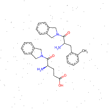 Cc1ccccc1CC(N)C(=O)N1Cc2ccccc2C1.N[C@H](CCC(=O)O)C(=O)N1Cc2ccccc2C1